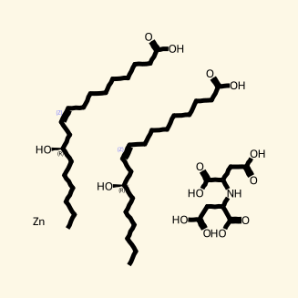 CCCCCC[C@@H](O)C/C=C\CCCCCCCC(=O)O.CCCCCC[C@@H](O)C/C=C\CCCCCCCC(=O)O.O=C(O)CC(NC(CC(=O)O)C(=O)O)C(=O)O.[Zn]